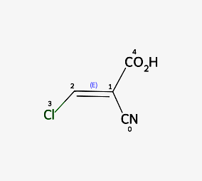 N#C/C(=C\Cl)C(=O)O